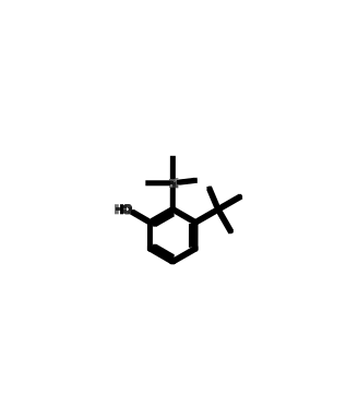 CC(C)(C)c1cccc(O)c1[Si](C)(C)C